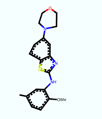 COc1ccc(C)cc1Nc1nc2cc(N3CCOCC3)ccc2s1